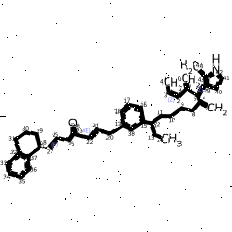 C=C(/C=C\C)/C(C(=C)CCCCC(CC)c1cccc(C/C=C/C(=O)C/C=C/[C@H]2CCCc3ccccc32)c1)=c1/cc[nH]c1=C